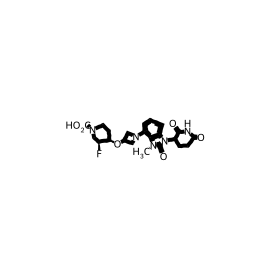 Cn1c(=O)n(C2CCC(=O)NC2=O)c2cccc(N3CC(O[C@@H]4CCN(C(=O)O)C[C@@H]4F)C3)c21